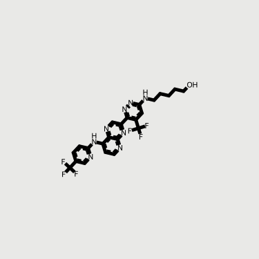 OCCCCCNc1cc(C(F)(F)F)c(-c2cnc3c(Nc4ccc(C(F)(F)F)cn4)ccnc3n2)nn1